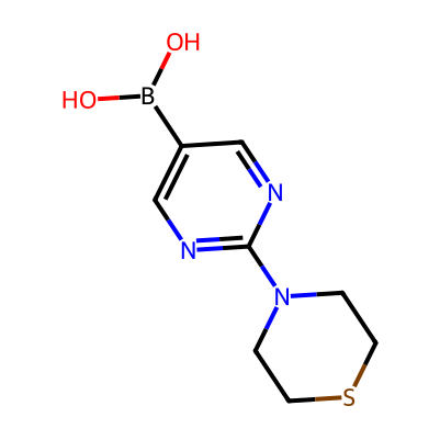 OB(O)c1cnc(N2CCSCC2)nc1